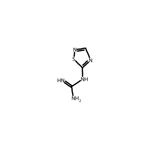 N=C(N)Nc1ncns1